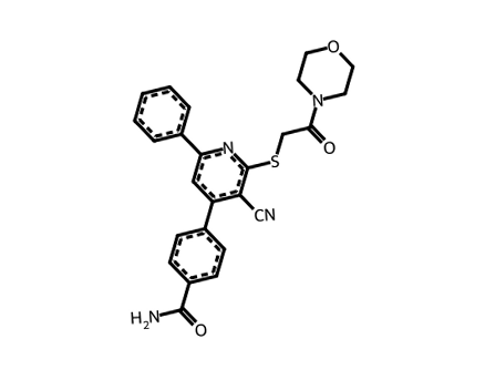 N#Cc1c(-c2ccc(C(N)=O)cc2)cc(-c2ccccc2)nc1SCC(=O)N1CCOCC1